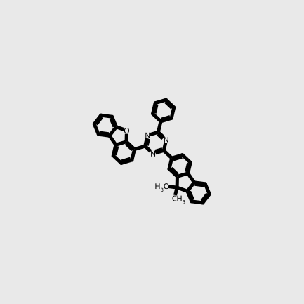 CC1(C)c2ccccc2-c2ccc(-c3nc(-c4ccccc4)nc(-c4cccc5c4oc4ccccc45)n3)cc21